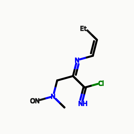 CC/C=C\N=C(\CN(C)N=O)C(=N)Cl